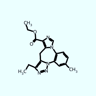 CCOC(=O)c1ncn2c1Cc1c(CC)nnn1-c1cc(C)ccc1-2